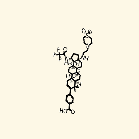 CC1(C)C(c2ccc(C(=O)O)cc2)=CC[C@]2(C)[C@H]3CC[C@@H]4[C@H]5[C@H](NC(=O)C(F)(F)F)CC[C@]5(NCCN5CCS(=O)(=O)CC5)CC[C@@]4(C)[C@]3(C)CC[C@@H]12